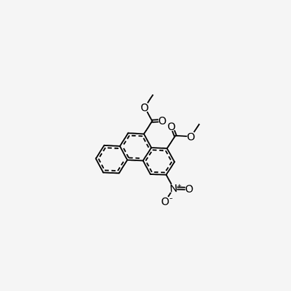 COC(=O)c1cc([N+](=O)[O-])cc2c1c(C(=O)OC)cc1ccccc12